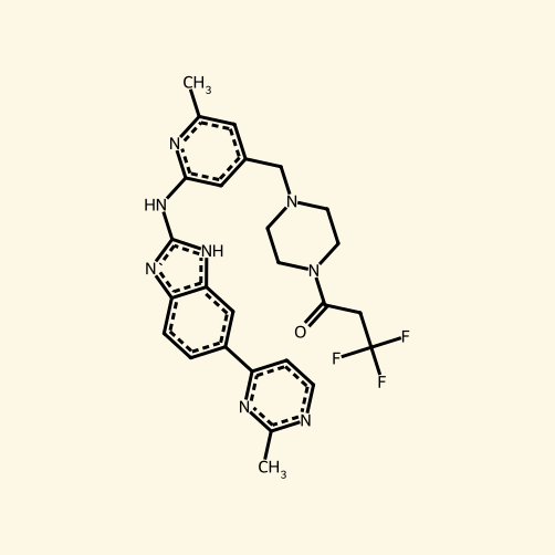 Cc1cc(CN2CCN(C(=O)CC(F)(F)F)CC2)cc(Nc2nc3ccc(-c4ccnc(C)n4)cc3[nH]2)n1